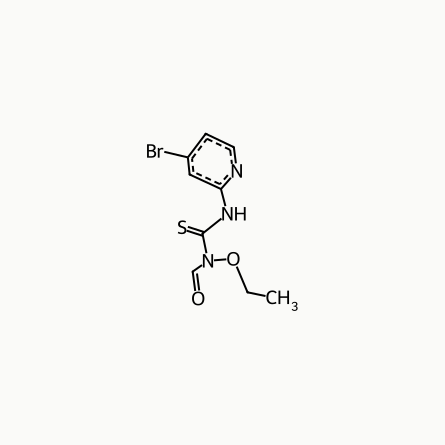 CCON(C=O)C(=S)Nc1cc(Br)ccn1